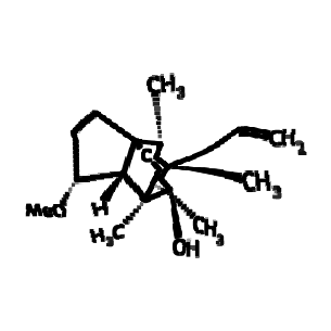 C=C[C@@]1(C)C[C@@H](C)[C@]23CC[C@@H](C)[C@@](C)([C@H](O)C1)[C@@H]2[C@H](OC)CC3